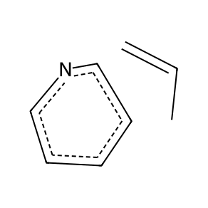 C=CC.c1ccncc1